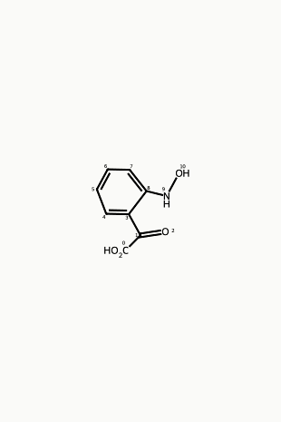 O=C(O)C(=O)c1ccccc1NO